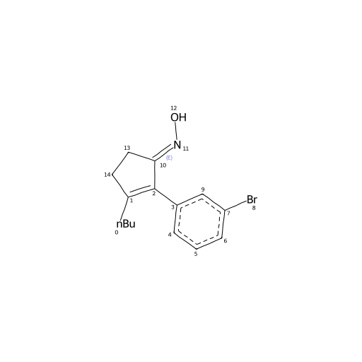 CCCCC1=C(c2cccc(Br)c2)/C(=N/O)CC1